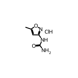 Cc1cc(NC(N)=O)no1.Cl